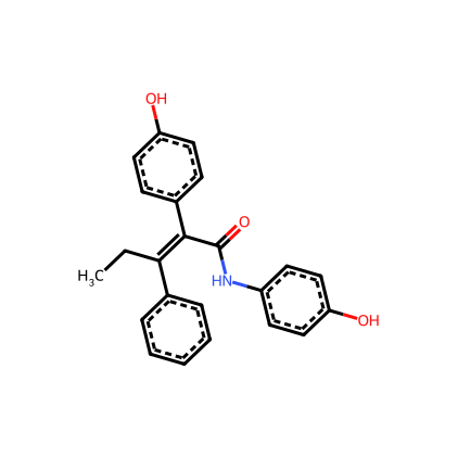 CCC(=C(C(=O)Nc1ccc(O)cc1)c1ccc(O)cc1)c1ccccc1